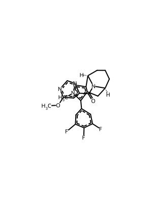 COc1cc(C(=O)N2[C@H]3CCC[C@@H]2c2nn(C)c(-c4cc(F)c(F)c(F)c4)c2C3)ncn1